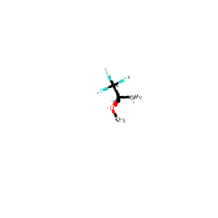 [CH2-]/[O+]=C(\OC)C(F)(F)F